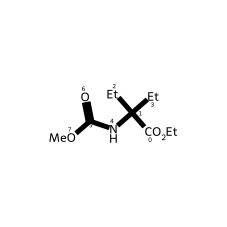 CCOC(=O)C(CC)(CC)NC(=O)OC